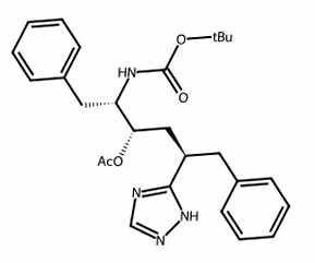 CC(=O)O[C@@H](C[C@@H](Cc1ccccc1)c1ncn[nH]1)[C@H](Cc1ccccc1)NC(=O)OC(C)(C)C